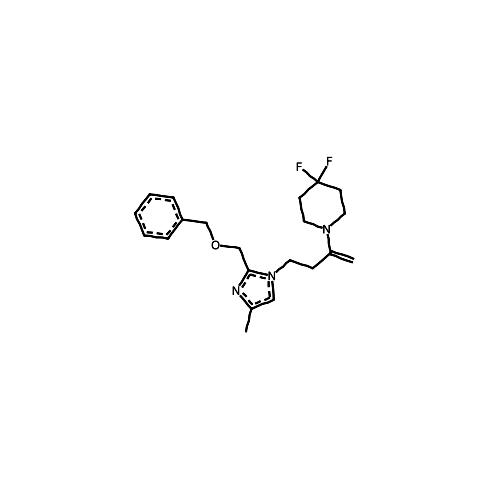 C=C(CCn1cc(C)nc1COCc1ccccc1)N1CCC(F)(F)CC1